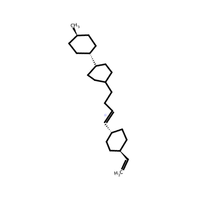 C=C[C@H]1CC[C@H](/C=C/CCC2CCC([C@H]3CC[C@H](C)CC3)CC2)CC1